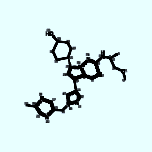 COC[C@H](C)Nc1ncc2c(-c3cnn(Cc4cnc(C)cn4)c3)cc([C@H]3CC[C@H](O)CC3)n2n1